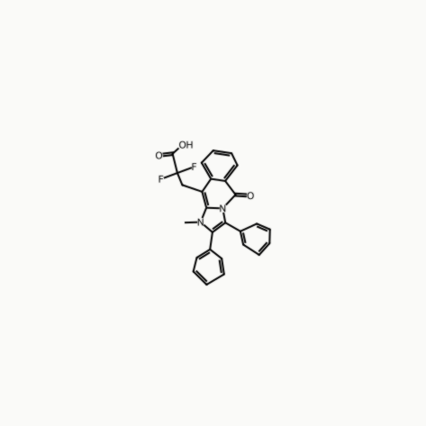 Cn1c(-c2ccccc2)c(-c2ccccc2)n2c(=O)c3ccccc3c(CC(F)(F)C(=O)O)c12